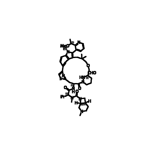 CCn1c(-c2cccnc2[C@H](C)OC)c2c3cc(ccc31)-c1csc(n1)C[C@H](NC(=O)[C@H](C(C)C)N(C)C(=O)N1C[C@@H]3CCN(C)C[C@@H]31)C(=O)N1CCC[C@](C=O)(COCC(C)(C)C2)N1